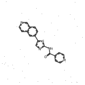 O=C(Nc1ncc(-c2ccc3cnccc3c2)s1)c1ccncc1